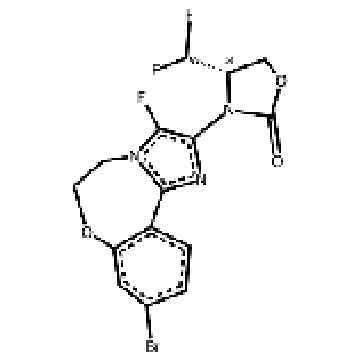 O=C1OC[C@@H](C(F)F)N1c1nc2n(c1F)CCOc1cc(Br)ccc1-2